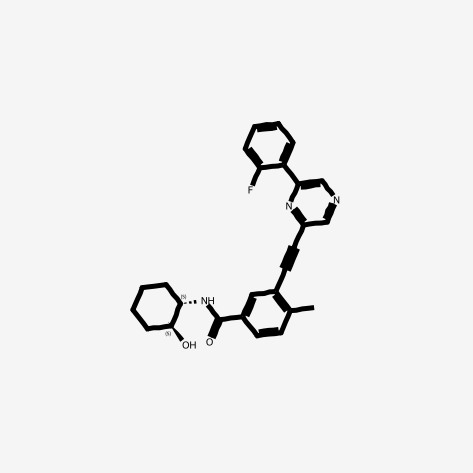 Cc1ccc(C(=O)N[C@H]2CCCC[C@@H]2O)cc1C#Cc1cncc(-c2ccccc2F)n1